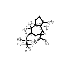 CC1CC[C@@H]2[C@@H]1[C@H]1OC1(C(C)C)CC(O[Si](C)(C)C(C)(C)C)C2(C)O